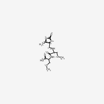 COCC(NC(=O)C(COC)NCc1oc(=O)oc1C)C(=O)O